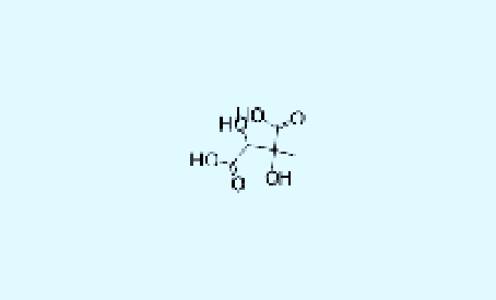 CC(O)(C(=O)O)C(O)C(=O)O